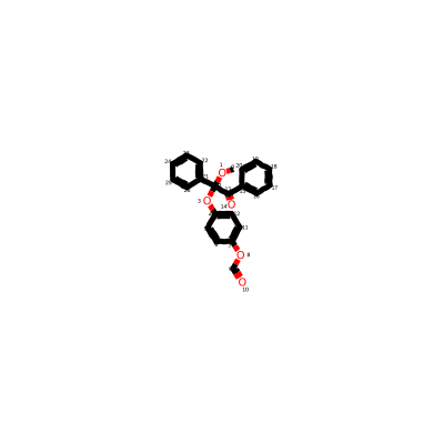 COC(Oc1ccc(OC=O)cc1)(C(=O)c1ccccc1)c1ccccc1